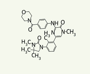 Cc1c(-c2cn(C)c(=O)c(Nc3ccc(C(=O)N4CCOCC4)cc3)n2)cccc1N1CC(C)(C)N(C)C1=O